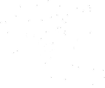 Fc1cccc(C2=C(c3ccc(C=C4CN(CCC(F)F)C4)cc3)c3ccccc3CCC2)c1C(F)(F)F